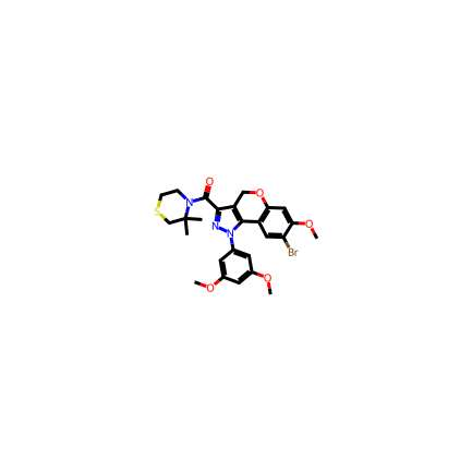 COc1cc(OC)cc(-n2nc(C(=O)N3CCSCC3(C)C)c3c2-c2cc(Br)c(OC)cc2OC3)c1